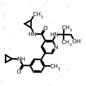 Cc1ccc(C(=O)NC2CC2)cc1-c1cnc(NC(C)(C)CO)c(C(=O)NC2CC2C)c1